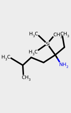 CCC(N)(CCC(C)C)[Si](C)(C)C